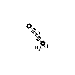 Cc1cc(N2CCN(CC(=O)N3CCN(C4CCCCC4)CC3)CC2)ccc1Cl